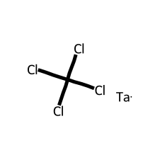 ClC(Cl)(Cl)Cl.[Ta]